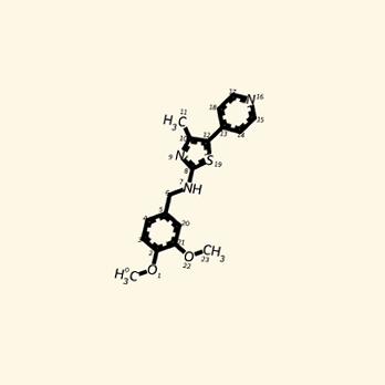 COc1ccc(CNc2nc(C)c(-c3ccncc3)s2)cc1OC